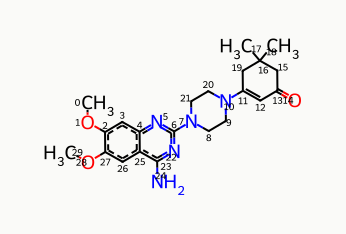 COc1cc2nc(N3CCN(C4=CC(=O)CC(C)(C)C4)CC3)nc(N)c2cc1OC